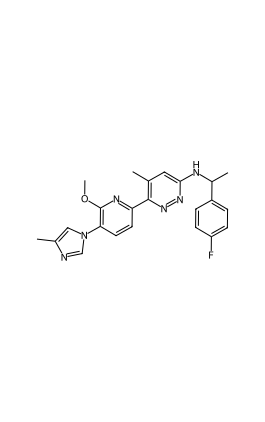 COc1nc(-c2nnc(NC(C)c3ccc(F)cc3)cc2C)ccc1-n1cnc(C)c1